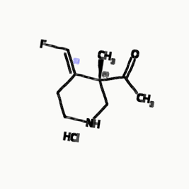 CC(=O)[C@]1(C)CNCC/C1=C\F.Cl